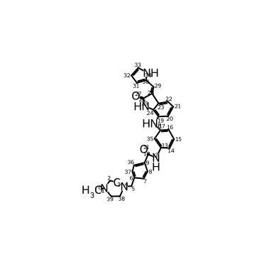 CN1CCN(Cc2ccc(C(=O)Nc3cccc(Nc4cccc5c4NC(=O)/C5=C\c4ccc[nH]4)c3)cc2)CC1